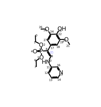 CCOP(=O)(OCC)/C(=C\Nc1cccnc1)c1cc(OC)c(O)c(OC)c1